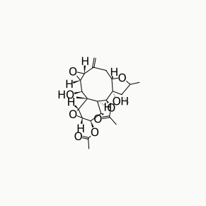 C=C1C[C@@H]2OC(C)[C@H](C)[C@@]2(O)[C@@H](OC(C)=O)[C@H]2[C@@H](C)[C@@H](OC(C)=O)[C@@H]3O[C@@H]3[C@]2(C)[C@@H](O)[C@@H]2O[C@H]12